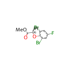 COC(=O)[C@H](Oc1c(Br)cc(F)cc1Br)C(C)C